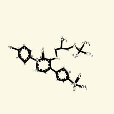 CC(COc1c(-c2ccc(S(C)(=O)=O)cc2)cnn(-c2ccc(F)cc2)c1=O)COC(C)(C)C